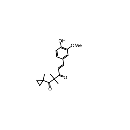 COc1cc(/C=C/C(=O)C(C)(C)C(=O)C2(C)CC2)ccc1O